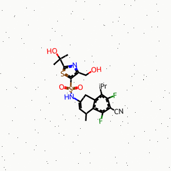 CC(C)c1c(F)c(C#N)c(F)c2c1CC(NS(=O)(=O)c1sc(C(C)(C)O)nc1CO)=CC2C